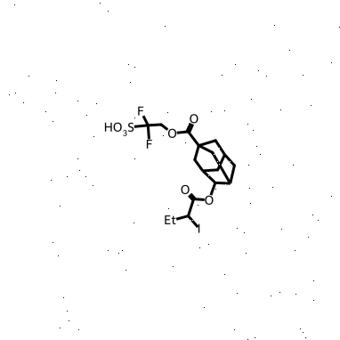 CCC(I)C(=O)OC1C2CC3CC1CC(C(=O)OCC(F)(F)S(=O)(=O)O)(C3)C2